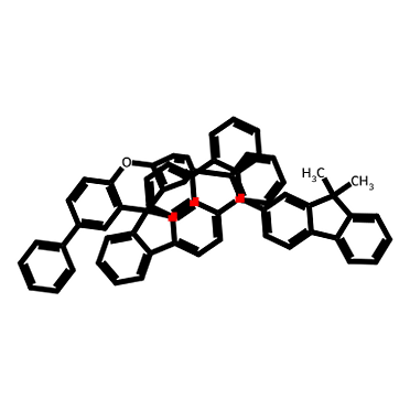 CC1(C)c2ccccc2-c2ccc(N(c3ccc4c(c3)C3(c5cc(-c6ccccc6)ccc5Oc5ccc(-c6ccccc6)cc53)c3ccccc3-4)c3ccccc3-c3ccccc3)cc21